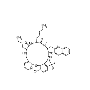 CN1C(=O)C(CCCCN)NC(=O)C(CCCN)NCc2cccnc2Sc2c(Cl)ccc(C(F)(F)F)c2CNC(=O)C1Cc1ccc2ccccc2n1